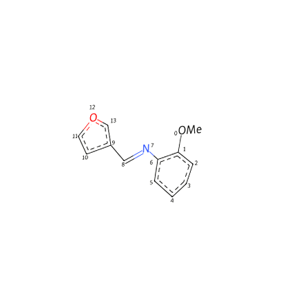 COc1ccccc1N=Cc1ccoc1